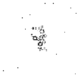 CC(F)(c1ccc2c(c1)OCC1N(C(=O)[C@H]3CC[C@](F)(C(=O)O)CC3)CCC21Cc1ccc(F)cc1)C(F)(F)F